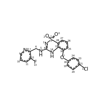 O=S1(=O)N=C(NCc2ncccc2F)Nc2c(Oc3ccc(Cl)cc3)cccc21